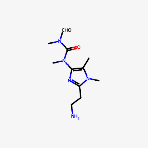 Cc1c(N(C)C(=O)N(C)C=O)nc(CCN)n1C